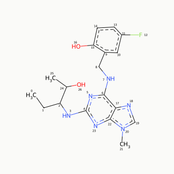 CCC(Nc1nc(NCc2cc(F)ccc2O)c2ncn(C)c2n1)C(C)O